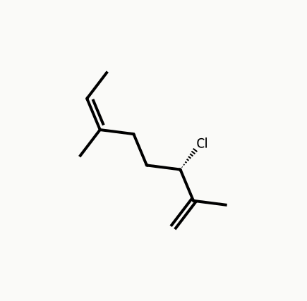 C=C(C)[C@@H](Cl)CC/C(C)=C\C